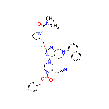 CN(C)C(=O)CN1CCC[C@H]1COc1nc2c(c(N3CCN(C(=O)OCc4ccccc4)[C@@H](CC#N)C3)n1)CCN(c1cccc3ccccc13)C2